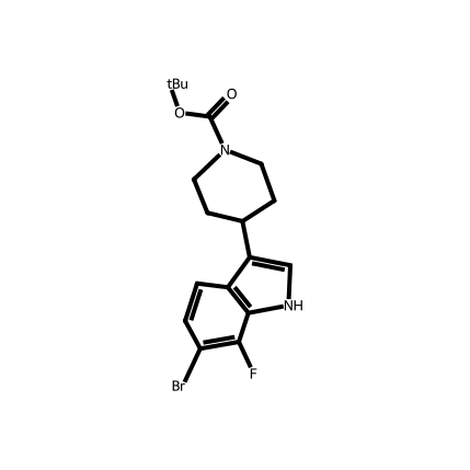 CC(C)(C)OC(=O)N1CCC(c2c[nH]c3c(F)c(Br)ccc23)CC1